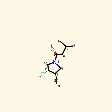 [2H][C@@H]1CN(C(=O)CC(C)C)C[C@H]1F